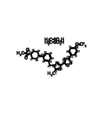 CS(=O)(=O)O.CS(=O)(=O)O.Cc1nc(-c2nc(-c3ccc(OC(F)(F)F)cc3)no2)nn1Cc1cccc(N2CCC(S(C)(=O)=O)CC2)c1